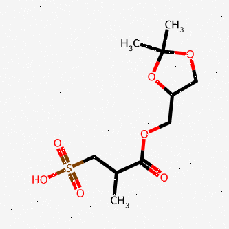 CC(CS(=O)(=O)O)C(=O)OCC1COC(C)(C)O1